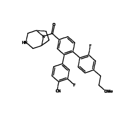 COCCc1ccc(-c2ccc(C(=O)N3C4CCC3CNC4)cc2-c2ccc(C#N)c(F)c2)c(F)c1